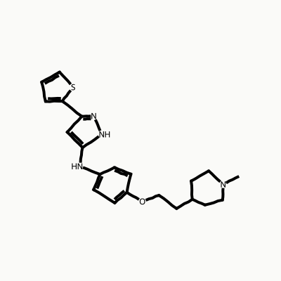 CN1CCC(CCOc2ccc(Nc3cc(-c4cccs4)n[nH]3)cc2)CC1